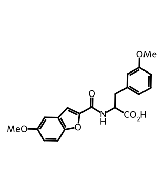 COc1cccc(CC(NC(=O)c2cc3cc(OC)ccc3o2)C(=O)O)c1